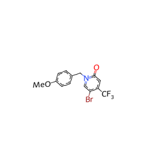 COc1ccc(Cn2cc(Br)c(C(F)(F)F)cc2=O)cc1